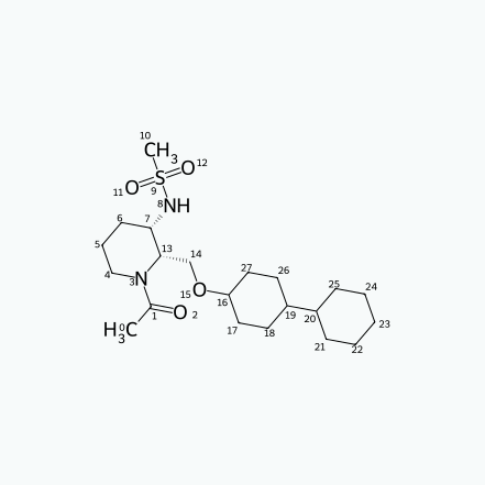 CC(=O)N1CCC[C@H](NS(C)(=O)=O)[C@@H]1COC1CCC(C2CCCCC2)CC1